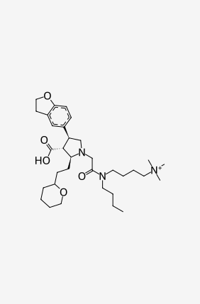 CCCCN(CCCC[N+](C)(C)C)C(=O)CN1C[C@H](c2ccc3c(c2)CCO3)[C@@H](C(=O)O)[C@@H]1CCC1CCCCO1